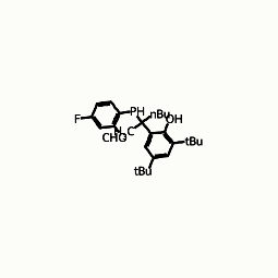 CCCCC(C)(Pc1ccc(F)cc1C=O)c1cc(C(C)(C)C)cc(C(C)(C)C)c1O